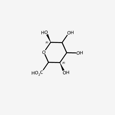 O=C(O)C1O[C@@H](O)C(O)C(O)[C@H]1O